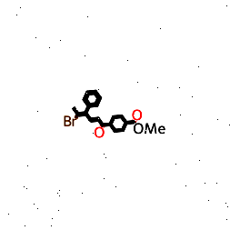 COC(=O)C1CCC(C(=O)C=CC(=C(C)Br)c2ccccc2)CC1